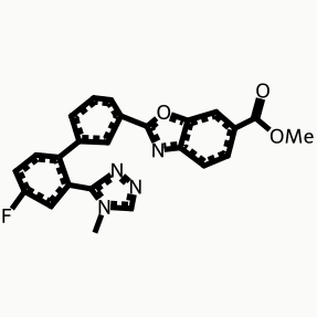 COC(=O)c1ccc2nc(-c3cccc(-c4ccc(F)cc4-c4nncn4C)c3)oc2c1